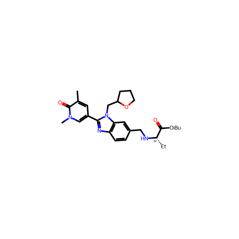 CC[C@H](NCc1ccc2nc(-c3cc(C)c(=O)n(C)c3)n(CC3CCCO3)c2c1)C(=O)OCC(C)C